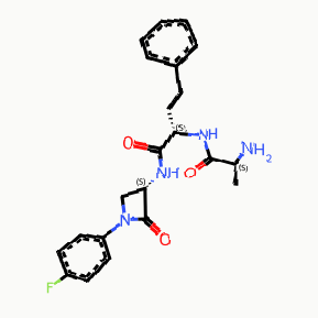 C[C@H](N)C(=O)N[C@@H](CCc1ccccc1)C(=O)N[C@H]1CN(c2ccc(F)cc2)C1=O